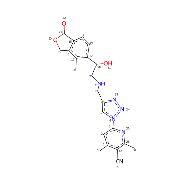 Cc1cc(-n2cc(CNCC(O)c3ccc4c(c3C)COC4=O)nn2)nc(C)c1C#N